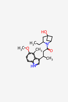 CCC1CC2(O)CC(C2)N1C(=O)CC(C)c1c[nH]c2ccc(OC)c(C)c12